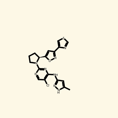 Cc1cc(Nc2nc(N3CCC[C@H]3c3cc(-c4cscn4)no3)ncc2Cl)n[nH]1